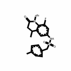 CCCN1C(=O)CC(C)c2cc(NS(=O)(=O)Cc3ccc(C)cc3)cc(F)c21